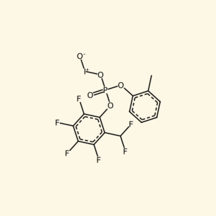 Cc1ccccc1OP(=O)(O[I+][O-])Oc1c(F)c(F)c(F)c(F)c1C(F)F